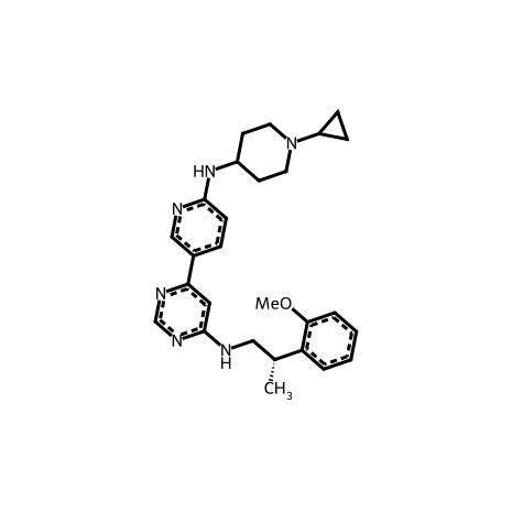 COc1ccccc1[C@H](C)CNc1cc(-c2ccc(NC3CCN(C4CC4)CC3)nc2)ncn1